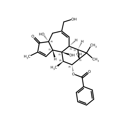 CC1=C[C@H]2[C@@]3(O)[C@H](C)[C@@H](OC(=O)c4ccccc4)[C@]4(O)[C@@H]([C@@H]3C=C(CO)C[C@]2(O)C1=O)C4(C)C